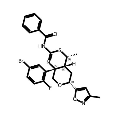 Cc1cc([C@H]2C[C@H]3[C@@H](C)SC(NC(=O)c4ccccc4)=N[C@@]3(c3cc(Br)ccc3F)CO2)on1